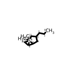 CCCC1CC2C3CS23(C)(C)C1